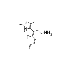 C=C/C=C\C(F)=C(/CCN)c1c(C)cc(C)n1C